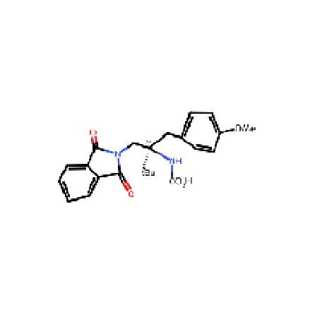 COc1ccc(C[C@](CN2C(=O)c3ccccc3C2=O)(NC(=O)O)C(C)(C)C)cc1